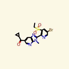 CCS(=O)(=O)c1cc(Br)cnc1-c1nc2cc(C(=O)C3CC3)cnc2n1C